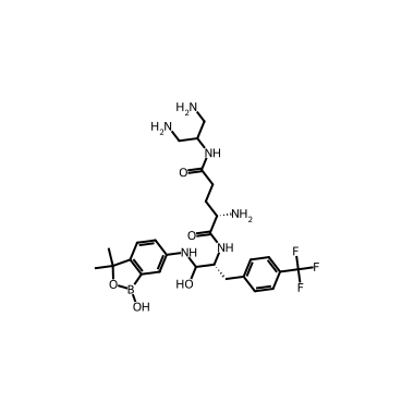 CC1(C)OB(O)c2cc(NC(O)[C@@H](Cc3ccc(C(F)(F)F)cc3)NC(=O)[C@@H](N)CCC(=O)NC(CN)CN)ccc21